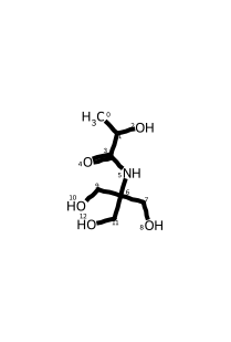 CC(O)C(=O)NC(CO)(CO)CO